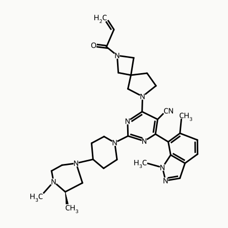 C=CC(=O)N1CC2(CCN(c3nc(N4CCC(N5CCN(C)[C@H](C)C5)CC4)nc(-c4c(C)ccc5cnn(C)c45)c3C#N)C2)C1